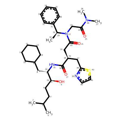 CC(C)CC[C@H](O)[C@H](CC1CCCCC1)NC(=O)[C@@H](CC(=O)N(CC(=O)N(C)C)[C@@H](C)c1ccccc1)Cc1nccs1